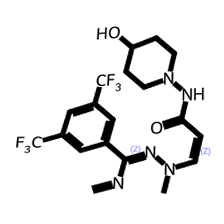 C=N/C(=N\N(C)/C=C\C(=O)NN1CCC(O)CC1)c1cc(C(F)(F)F)cc(C(F)(F)F)c1